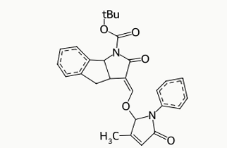 CC1=CC(=O)N(c2ccccc2)C1O/C=C1/C(=O)N(C(=O)OC(C)(C)C)C2c3ccccc3CC12